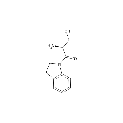 N[C@@H](CO)C(=O)N1CCc2cc[c]cc21